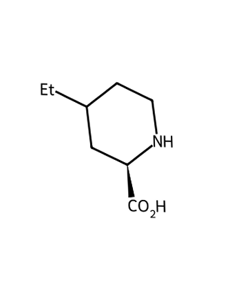 CCC1CCN[C@@H](C(=O)O)C1